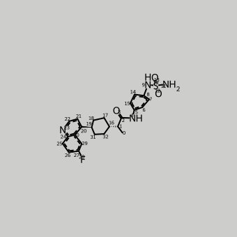 CC(C(=O)Nc1ccc(NS(N)(=O)=O)cc1)[C@H]1CC[C@H](c2ccnc3ccc(F)cc32)CC1